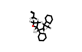 C=CC(=O)OC1(C(F)(F)F)OC(C2CCCCC2)(C(F)(F)F)C(F)(F)C(O)(C2CCCCC2)C1(F)F